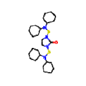 O=C1N(SN(C2CCCCC2)C2CCCCC2)CCN1SN(C1CCCCC1)C1CCCCC1